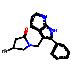 CCCC1CC(=O)N(Cc2c(-c3ccccc3)[nH]c3ncccc23)C1